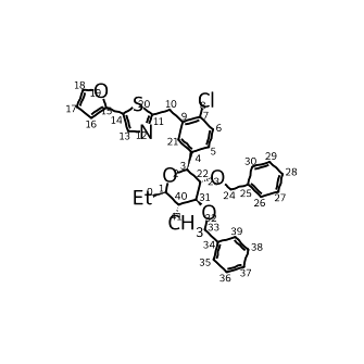 CC[C@H]1O[C@@H](c2ccc(Cl)c(Cc3ncc(-c4ccco4)s3)c2)[C@H](OCc2ccccc2)[C@@H](OCc2ccccc2)[C@@H]1C